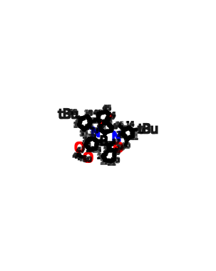 Cc1cc2c3c(c1)N(c1c(C)cc(C(C)(C)C)cc1C)c1oc4ccccc4c1B3c1cc3c(cc1N2c1ccc(C(C)(C)C)cc1-c1ccccc1)OCCO3